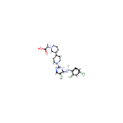 CC(C(=O)O)N1CCCC(C2CCN(c3ncc(Cl)c(N[C@H](C)c4ccc(Cl)cc4Cl)n3)CC2)C1